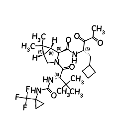 CC(=O)C(=O)[C@H](CC1CCC1)NC(=O)[C@@H]1[C@@H]2[C@H](CN1C(=O)[C@@H](NC(=O)NC1(C(F)(F)F)CC1)C(C)(C)C)C2(C)C